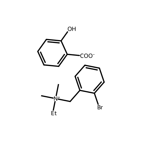 CC[N+](C)(C)Cc1ccccc1Br.O=C([O-])c1ccccc1O